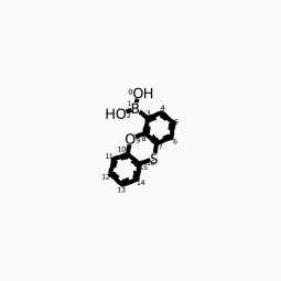 OB(O)c1cccc2c1Oc1ccccc1S2